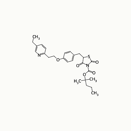 CCCC(C)(C)OC(=O)N1C(=O)SC(Cc2ccc(OCCc3ccc(CC)cn3)cc2)C1=O